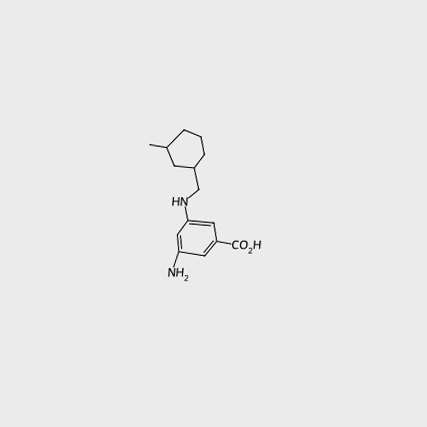 CC1CCCC(CNc2cc(N)cc(C(=O)O)c2)C1